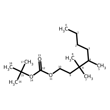 CCCCC(C)C(C)(C)CCOC(=O)OC(C)(C)C